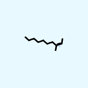 C/[C]=C(/C)CCCCCCC